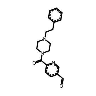 O=Cc1ccc(C(=O)N2CCN(CCc3ccccc3)CC2)nc1